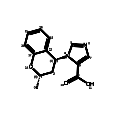 C[C@H]1C[C@H](n2cncc2C(=O)O)c2ccccc2O1